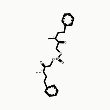 C[C@@H](CCc1ccccc1)C(=O)CO[PH](=O)OCC(=O)[C@@H](C)CCc1ccccc1